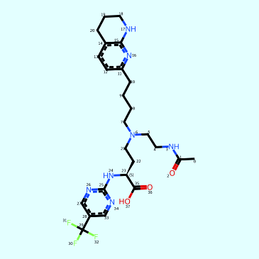 CC(=O)NCCN(CCCCc1ccc2c(n1)NCCC2)CC[C@H](Nc1ncc(C(F)(F)F)cn1)C(=O)O